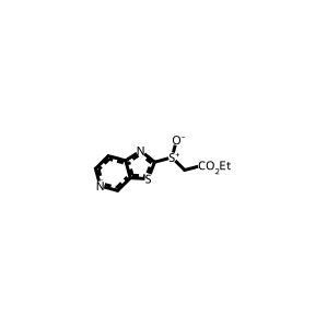 CCOC(=O)C[S+]([O-])c1nc2ccncc2s1